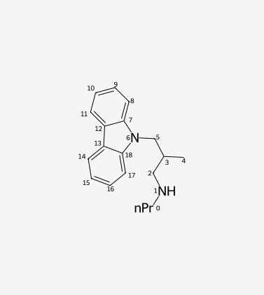 CCCNCC(C)Cn1c2ccccc2c2ccccc21